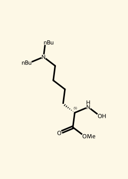 CCCCN(CCCC)CCCC[C@H](NO)C(=O)OC